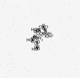 C=C(O)c1c(/C=C\C)ccc(/N=N/C2CC=CC=C2S(=O)(=O)c2cccc(/N=N/c3c(S(=O)(=O)O)cc4c(/N=N\c5ccc(S(=O)(=O)CCOS(=O)(=O)O)cc5S(=O)(=O)O)c(N)ccc4c3O)c2)c1N